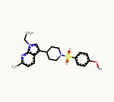 CC(C)Oc1ccc(S(=O)(=O)N2CCC(c3cn(CC(=O)O)c4nc(C(F)(F)F)ccc34)CC2)cc1